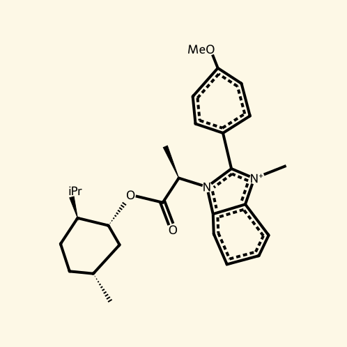 COc1ccc(-c2n([C@H](C)C(=O)O[C@@H]3C[C@H](C)CC[C@H]3C(C)C)c3ccccc3[n+]2C)cc1